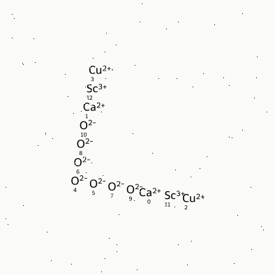 [Ca+2].[Ca+2].[Cu+2].[Cu+2].[O-2].[O-2].[O-2].[O-2].[O-2].[O-2].[O-2].[Sc+3].[Sc+3]